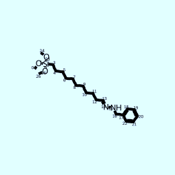 CO[Si](CCCCCCCCCCC=NNCc1ccccc1)(OC)OC